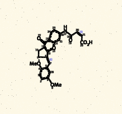 COc1ccc(OC)c(/C=C2\CCc3c2oc2cc(NC(=O)/C=C\C(=O)O)ccc2c3=O)c1